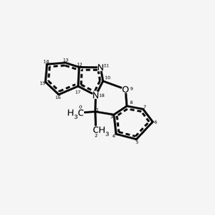 CC1(C)c2ccccc2Oc2nc3ccccc3n21